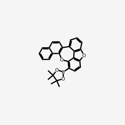 CC1(C)OB(c2ccc3oc4cccc5c6ccc7ccccc7c6oc2c3c45)OC1(C)C